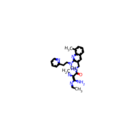 C=N/C(C(=O)NCc1cc2cccc(C)c2nc1N(C)CCc1ccccn1)=C(N)\N=C/C